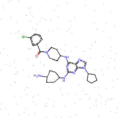 NC1CCC(Nc2nc(NC3CCN(C(=O)c4cccc(Br)c4)CC3)c3ncn(C4CCCC4)c3n2)CC1